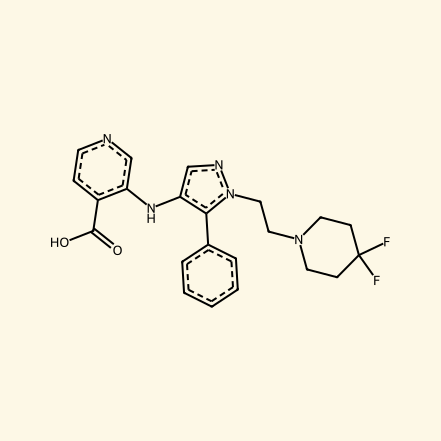 O=C(O)c1ccncc1Nc1cnn(CCN2CCC(F)(F)CC2)c1-c1ccccc1